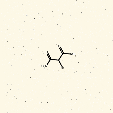 NC(=O)C(Br)C(N)=O